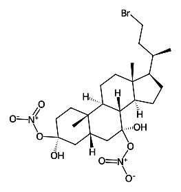 C[C@H](CCBr)[C@H]1CC[C@H]2[C@H]3[C@H](CC[C@]12C)[C@@]1(C)CC[C@](O)(O[N+](=O)[O-])C[C@H]1C[C@]3(O)O[N+](=O)[O-]